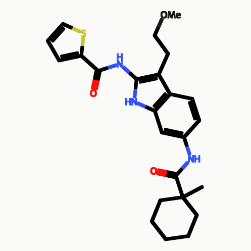 COCCc1c(NC(=O)c2cccs2)[nH]c2cc(NC(=O)C3(C)CCCCC3)ccc12